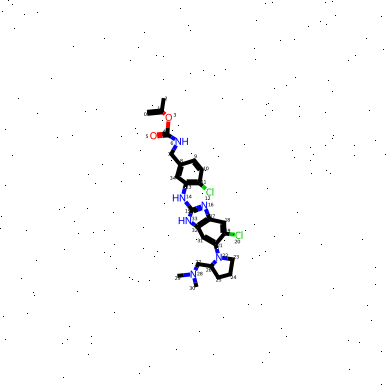 C=C(C)OC(=O)NCc1ccc(Cl)c(Nc2nc3cc(Cl)c(N4CCCC4CN(C)C)cc3[nH]2)c1